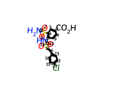 NS(=O)(=O)c1cc(C(=O)O)ccc1NS(=O)(=O)CCc1ccc(Cl)cc1